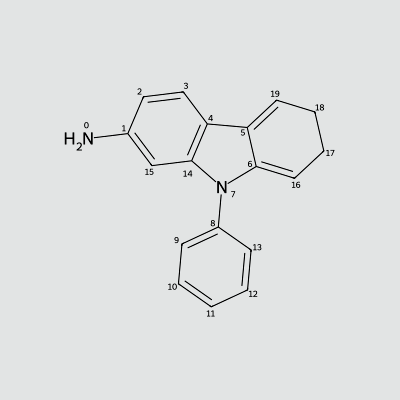 Nc1ccc2c3c(n(-c4ccccc4)c2c1)=CCCC=3